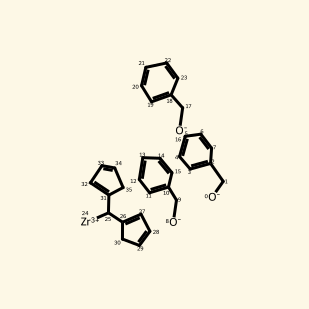 [O-]Cc1ccccc1.[O-]Cc1ccccc1.[O-]Cc1ccccc1.[Zr+3][CH](C1=CC=CC1)C1=CC=CC1